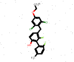 O=C(O)COc1cc(Cl)c(Cc2ccc(O)c(-c3cc(C(F)(F)F)ccc3F)c2F)c(Cl)c1